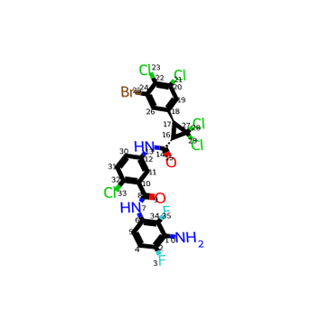 Nc1c(F)ccc(NC(=O)c2cc(NC(=O)[C@@H]3[C@@H](c4cc(Cl)c(Cl)c(Br)c4)C3(Cl)Cl)ccc2Cl)c1F